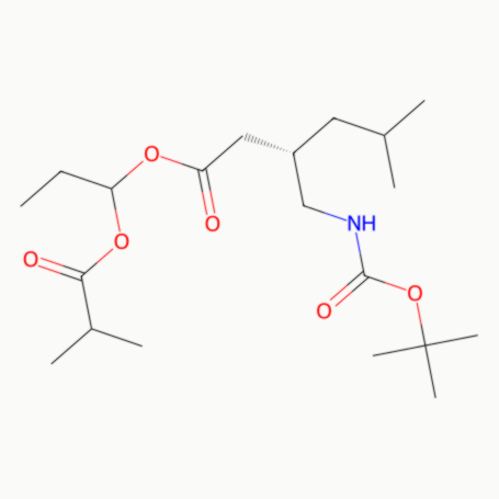 CCC(OC(=O)C[C@@H](CNC(=O)OC(C)(C)C)CC(C)C)OC(=O)C(C)C